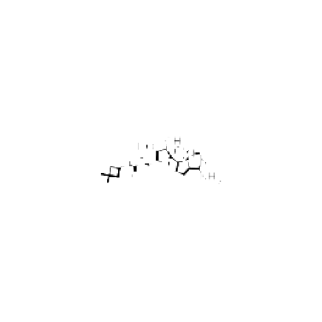 CC1(C)CC(OC(=O)OC[C@H]2O[C@@](C#N)(c3ccc4c(N)ncnn34)[C@H](O)[C@@H]2O)C1